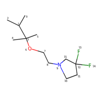 CC(C)C(C)(C)OCCN1CCC(F)(F)C1